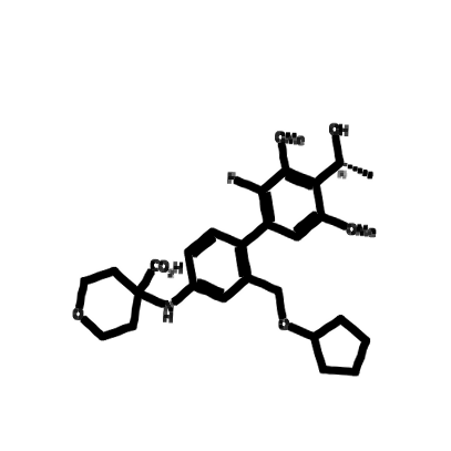 COc1cc(-c2ccc(NC3(C(=O)O)CCOCC3)cc2COC2CCCC2)c(F)c(OC)c1[C@@H](C)O